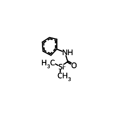 C[Si](C)C(=O)Nc1ccccc1